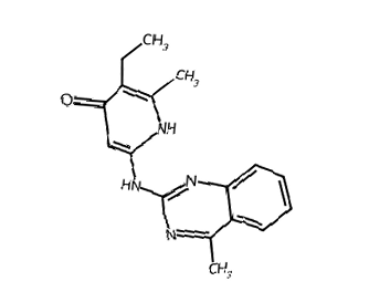 CCc1c(C)[nH]c(Nc2nc(C)c3ccccc3n2)cc1=O